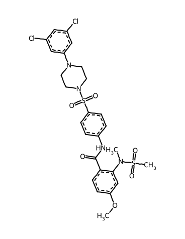 COc1ccc(C(=O)Nc2ccc(S(=O)(=O)N3CCN(c4cc(Cl)cc(Cl)c4)CC3)cc2)c(N(C)S(C)(=O)=O)c1